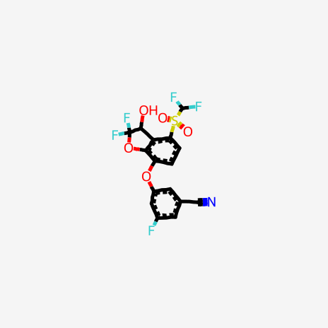 N#Cc1cc(F)cc(Oc2ccc(S(=O)(=O)C(F)F)c3c2OC(F)(F)C3O)c1